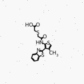 Cc1csc(NC(=O)CSCC(=O)O)c1-c1nc2ccccc2s1